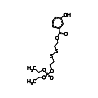 CCOP(=O)(OCC)OCCSSCCOC(=O)c1cccc(O)c1